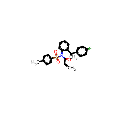 C=CC(=O)N(c1ccccc1C(=C)c1ccc(F)cc1)S(=O)(=O)c1ccc(C)cc1